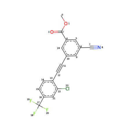 COC(=O)c1cc(C#N)cc(C#Cc2ccc(C(F)(F)F)cc2Cl)c1